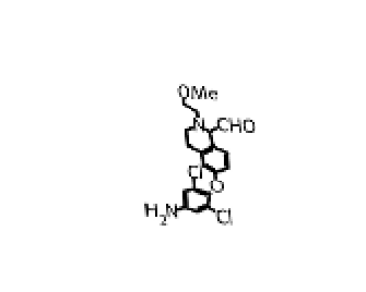 COCCN1CCc2cc(Oc3c(Cl)cc(N)cc3Cl)ccc2C1C=O